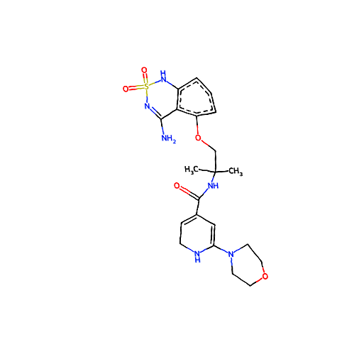 CC(C)(COc1cccc2c1C(N)=NS(=O)(=O)N2)NC(=O)C1=CCNC(N2CCOCC2)=C1